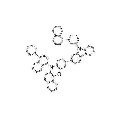 c1ccc(-c2ccc(N3c4ccc(-c5ccc6c7ccccc7n(-c7cccc(-c8cccc9ccccc89)c7)c6c5)cc4Oc4c3ccc3ccccc43)c3ccccc23)cc1